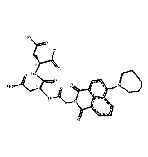 O=C(O)C[C@H](NC(=O)[C@H](CC(=O)O)NC(=O)CN1C(=O)c2cccc3c(N4CCCCC4)ccc(c23)C1=O)C(=O)O